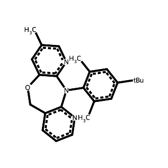 Cc1cnc2c(c1)OCc1cccnc1N2c1c(C)cc(C(C)(C)C)cc1C